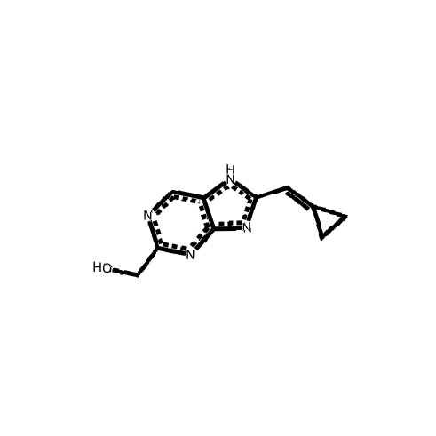 OCc1ncc2[nH]c(C=C3CC3)nc2n1